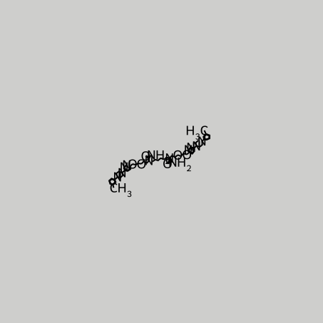 Cc1cccc(N2CCN(c3ccc(OCCOCCN(CCCCCCN(CCOCCOc4ccc(N5CCN(c6cccc(C)c6)CC5)nn4)C(N)=O)C(N)=O)nn3)CC2)c1